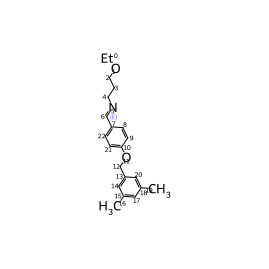 CCOCCC/N=C/c1ccc(OCc2cc(C)cc(C)c2)cc1